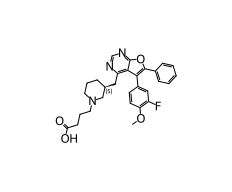 COc1ccc(-c2c(-c3ccccc3)oc3ncnc(C[C@@H]4CCCN(CCCC(=O)O)C4)c23)cc1F